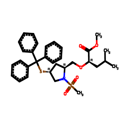 COC(=O)[C@@H](CC(C)C)OC[C@@H]1C[C@@H](SC(c2ccccc2)(c2ccccc2)c2ccccc2)CN1S(C)(=O)=O